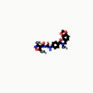 Cc1noc(C)c1C(=O)NC(=S)Nc1ccc(C(=O)N(C)Cc2ccc3c(c2)OCO3)cc1